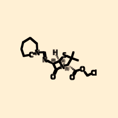 CC1(C)S[C@@H]2[C@H](N=CN3CCCCCC3)C(=O)N2[C@H]1C(=O)OCCl